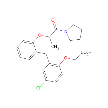 CC(Oc1ccccc1Cc1cc(Cl)ccc1OCC(=O)O)C(=O)N1CCCC1